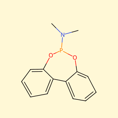 CN(C)p1oc2ccccc2c2ccccc2o1